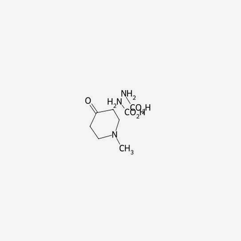 CN1CCC(=O)CC1.NC(=O)O.NC(=O)O